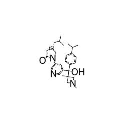 CC(C)C[C@H]1CC(=O)N(c2cncc(C(O)(c3ccc(C(C)C)cc3)C3(C)CN(C)C3)c2)C1